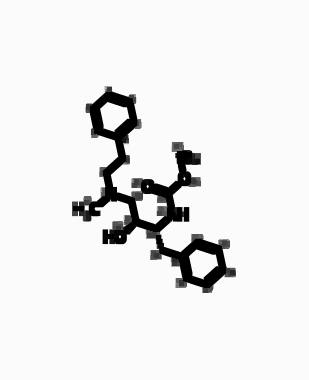 CN(CCc1ccccc1)C[C@H](O)[C@@H](Cc1ccccc1)NC(=O)OC(C)(C)C